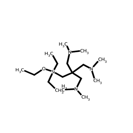 CCO[Si](CC)(CC)CC(CN(C)C)(CN(C)C)CN(C)C